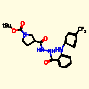 CC(C)(C)OC(=O)N1CCC(C(=O)NNC(=O)c2ccccc2Nc2ccc(C(F)(F)F)cc2)C1